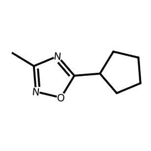 Cc1noc(C2CCCC2)n1